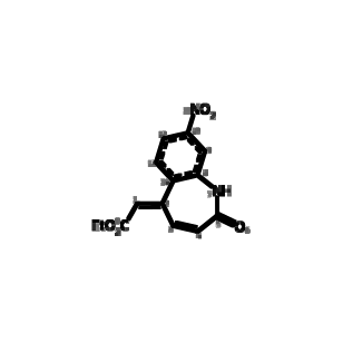 CCOC(=O)C=C1C=CC(=O)Nc2cc([N+](=O)[O-])ccc21